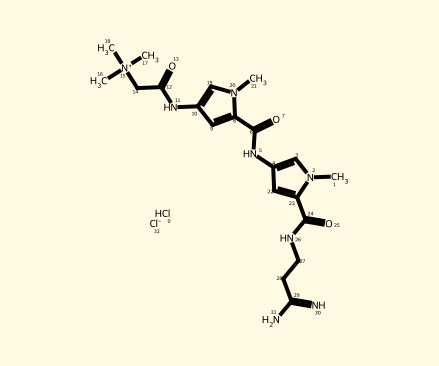 Cl.Cn1cc(NC(=O)c2cc(NC(=O)C[N+](C)(C)C)cn2C)cc1C(=O)NCCC(=N)N.[Cl-]